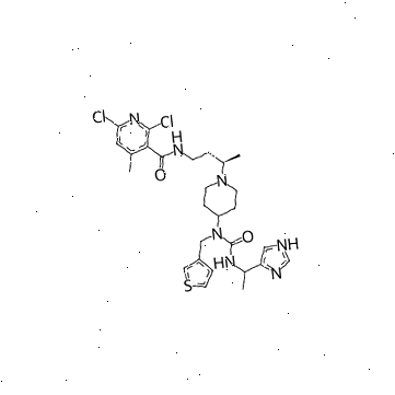 Cc1cc(Cl)nc(Cl)c1C(=O)NCC[C@@H](C)N1CCC(N(Cc2ccsc2)C(=O)NC(C)c2c[nH]cn2)CC1